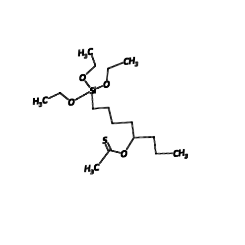 CCCC(CCCC[Si](OCC)(OCC)OCC)OC(C)=S